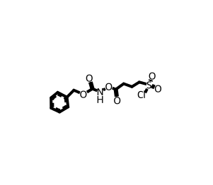 O=C(CCCS(=O)(=O)Cl)ONC(=O)OCc1ccccc1